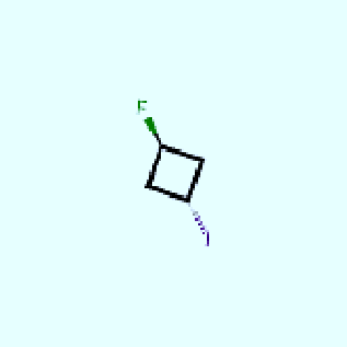 F[C@H]1C[C@H](I)C1